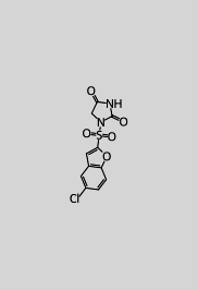 O=C1CN(S(=O)(=O)c2cc3cc(Cl)ccc3o2)C(=O)N1